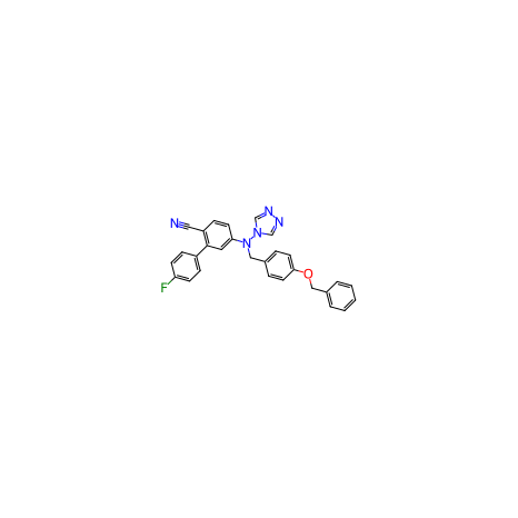 N#Cc1ccc(N(Cc2ccc(OCc3ccccc3)cc2)n2cnnc2)cc1-c1ccc(F)cc1